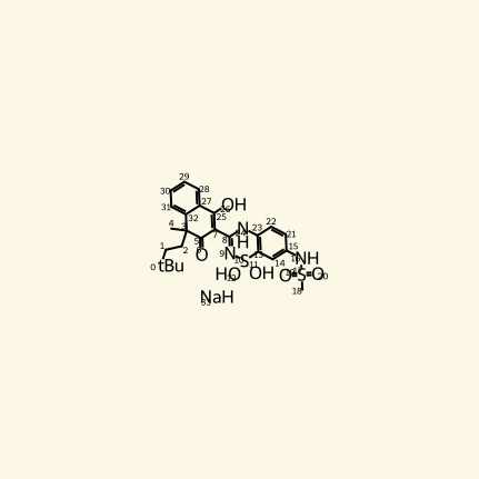 CC(C)(C)CCC1(C)C(=O)C(C2=NS(O)(O)c3cc(NS(C)(=O)=O)ccc3N2)=C(O)c2ccccc21.[NaH]